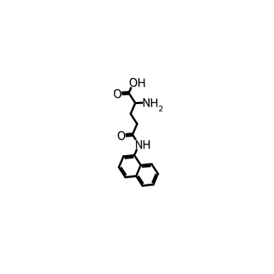 NC(CCC(=O)Nc1cccc2ccccc12)C(=O)O